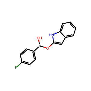 OB(Oc1cc2ccccc2[nH]1)c1ccc(F)cc1